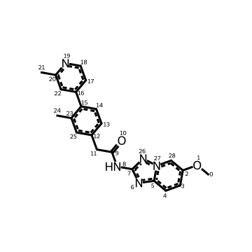 COc1ccc2nc(NC(=O)Cc3ccc(-c4ccnc(C)c4)c(C)c3)nn2c1